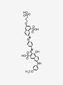 COc1ccc(Nc2ccc3c(O)c(N=Nc4ccc(N=Nc5ccc6cc(OCCCS(=O)(=O)O)cc(S(=O)(=O)O)c6c5)cc4)c(S(=O)(=O)O)cc3c2)cc1